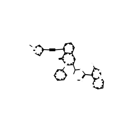 CC(NC(=NO)c1c(N)nn2cccnc12)c1cc2cccc(C#Cc3cnn(C)c3)c2c(=O)n1-c1ccccc1